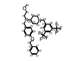 COCCN(Cc1ccc(OCc2ccccc2)cc1)C1CCN(Cc2cc(C(F)(F)F)cc(C(F)(F)F)c2)CC1